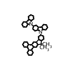 CC1(C)c2ccc(-n3c4ccccc4c4cc(-n5c6ccccc6c6ccccc65)ccc43)cc2-c2cc3c4ccccc4c4ccccc4c3cc21